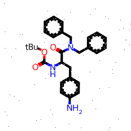 CC(C)(C)OC(=O)NC(Cc1ccc(N)cc1)C(=O)N(Cc1ccccc1)Cc1ccccc1